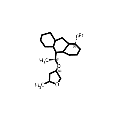 CCC[C@@H]1CCCC2C1CC1CCCCC1C2[C@H](C)O[C@H]1COC(C)C1